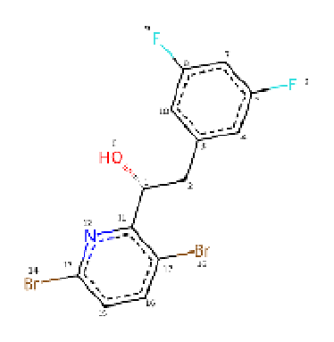 O[C@H](Cc1cc(F)cc(F)c1)c1nc(Br)ccc1Br